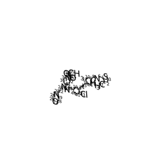 Cc1ccsc1CNCc1ccc(C#Cc2cc(-c3nn(CCCN4CCOCC4)c4c3CN(S(C)(=O)=O)CC4)ccc2Cl)cc1